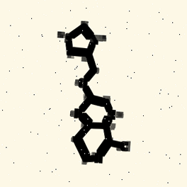 Clc1nccc2nc(OCc3cscn3)cnc12